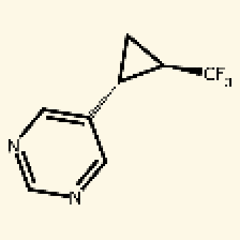 FC(F)(F)[C@@H]1C[C@H]1c1cncnc1